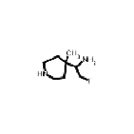 CC1(C(N)CF)CCNCC1